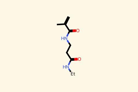 C=C(C)C(=O)NCCC(=O)NCC